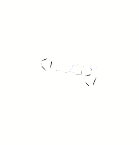 C[C@H](NC1CCN(CCCc2ccccc2)CC1)c1ccccc1